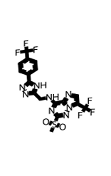 CS(=O)(=O)c1nc(NCc2nnc(-c3ccc(C(F)(F)F)cc3)[nH]2)c2ncc(C(F)(F)F)n2n1